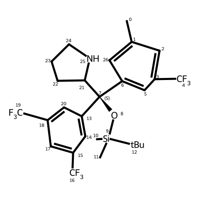 Cc1cc(C(F)(F)F)cc([C@](O[Si](C)(C)C(C)(C)C)(c2cc(C(F)(F)F)cc(C(F)(F)F)c2)C2CCCN2)c1